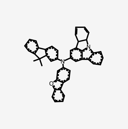 CC1(C)c2ccccc2-c2ccc(N(c3ccc4c(c3)oc3ccccc34)c3cc4c5c(c3)c3ccccc3n5C3C=CC=CC43)cc21